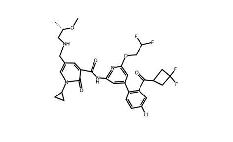 CO[C@@H](C)CNCc1cc(C(=O)Nc2cc(-c3ccc(Cl)cc3C(=O)C3CC(F)(F)C3)cc(OCC(F)F)n2)c(=O)n(C2CC2)c1